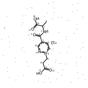 CC(NC(=O)c1cc[n+](CCC(=O)O)nc1)C(=O)O.[Cl-]